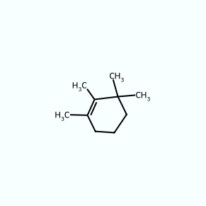 CC1=C(C)C(C)(C)CCC1